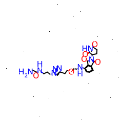 NCC(=O)NCCCn1cc(CCOCCNc2cccc3c2C(=O)N(C2CCC(=O)NC2=O)C3=O)nn1